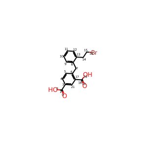 O=C(O)c1ccc(Cc2ccccc2CCBr)c(C(=O)O)c1